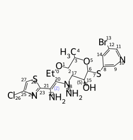 CCOCC(C)OC(Sc1cncc(Br)c1)[C@@H](O)CN(N)/C=C(\N)c1nc(Cl)cs1